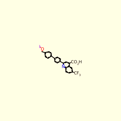 O=C(O)c1cc(-c2ccc(-c3ccc(COI)cc3)cc2)nc2ccc(C(F)(F)F)cc12